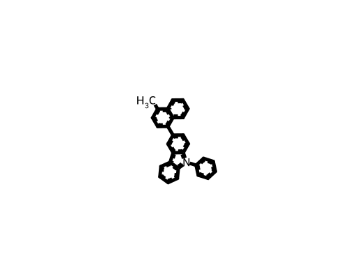 Cc1ccc(-c2ccc3c(c2)c2ccccc2n3-c2ccccc2)c2ccccc12